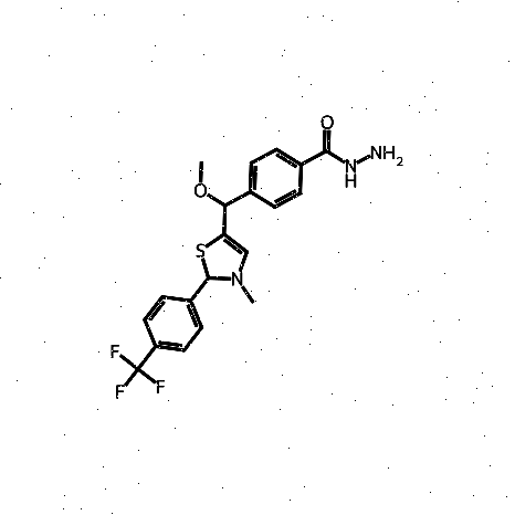 COC(C1=CN(C)C(c2ccc(C(F)(F)F)cc2)S1)c1ccc(C(=O)NN)cc1